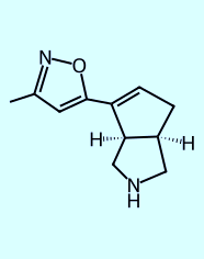 Cc1cc(C2=CC[C@H]3CNC[C@@H]23)on1